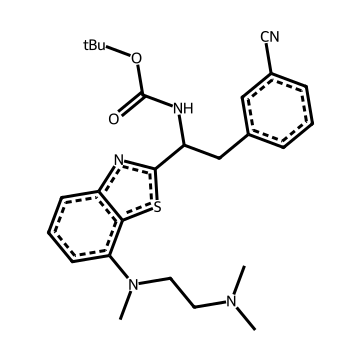 CN(C)CCN(C)c1cccc2nc(C(Cc3cccc(C#N)c3)NC(=O)OC(C)(C)C)sc12